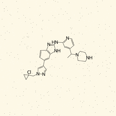 CC(c1ccnc(Nc2nc3ccc(-c4cnn(CC5(Cl)CC5)c4)cc3[nH]2)c1)N1CCNCC1